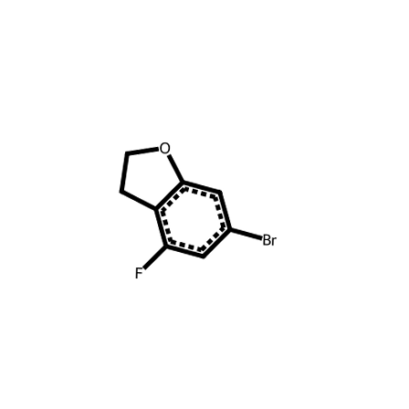 Fc1cc(Br)cc2c1CCO2